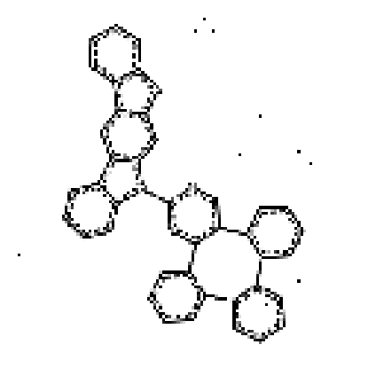 c1ccc2c(c1)-c1ccccc1-c1cnc(-n3c4ccccc4c4cc5c(cc43)sc3ccccc35)nc1-c1ccccc1-2